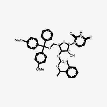 COc1ccc(C(OC[C@H]2O[C@@H](n3ccc(=O)[nH]c3=O)[C@@H](O)C2OCOC(C)c2ccccc2[N+](=O)[O-])(c2ccccc2)c2ccc(OC)cc2)cc1